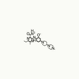 CCc1nc(C(N)=O)c(Nc2ccc(N3CCC(N4CCN(C)CC4)CC3)cc2OC)nc1C